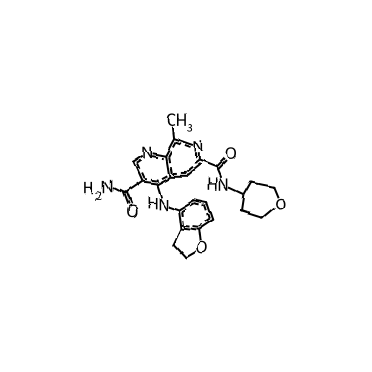 Cc1nc(C(=O)NC2CCOCC2)cc2c(Nc3cccc4c3CCO4)c(C(N)=O)cnc12